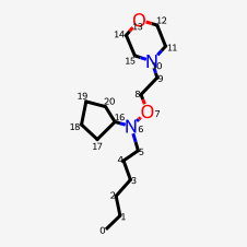 CCCCCCN(OCCN1CCOCC1)C1CCCC1